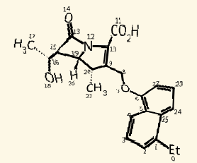 CCc1cccc2c(OCC3=C(C(=O)O)N4C(=O)[C@H]([C@@H](C)O)[C@H]4[C@H]3C)cccc12